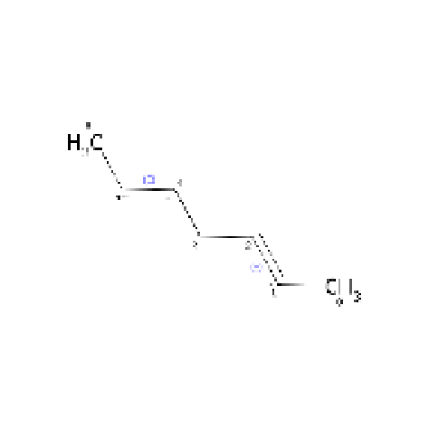 C/[C]=C/C/C=C/C